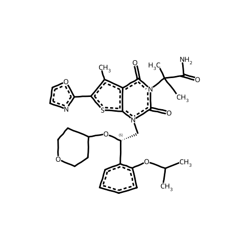 Cc1c(-c2ncco2)sc2c1c(=O)n(C(C)(C)C(N)=O)c(=O)n2C[C@@H](OC1CCOCC1)c1ccccc1OC(C)C